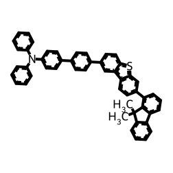 CC1(C)c2ccccc2-c2cccc(-c3ccc4c(c3)sc3ccc(-c5ccc(-c6ccc(N(c7ccccc7)c7ccccc7)cc6)cc5)cc34)c21